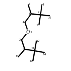 CC(COCC(C)C(C)(C)C)C(C)(C)C